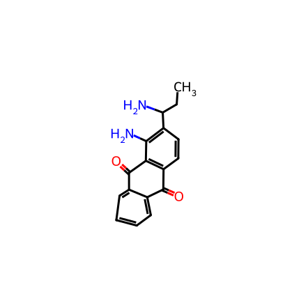 CCC(N)c1ccc2c(c1N)C(=O)c1ccccc1C2=O